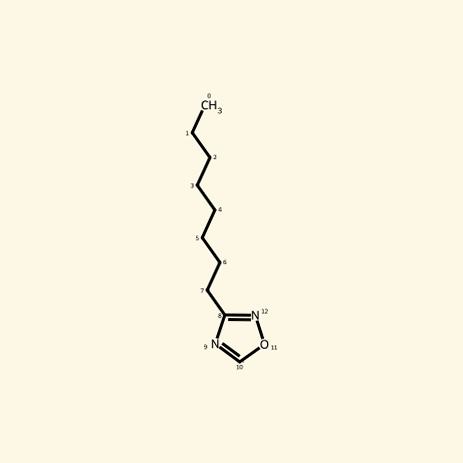 CCCCCCCCc1n[c]on1